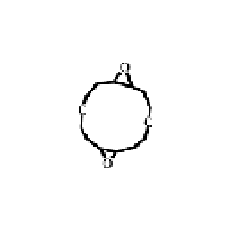 C1CCC2OC2CCCCCC2OC2CC1